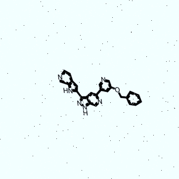 c1ccc(COc2cncc(-c3cc4c(-c5cc6ccncc6[nH]5)n[nH]c4cn3)c2)cc1